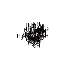 CC[C@H](C)[C@H](NC(=O)[C@@H]1C[C@@H](O)CN1C(=O)[C@@H](N)C(C)C)C(=O)N[C@H](C(=O)N[C@@H](Cc1ccc(O)cc1)C(=O)N[C@@H](CO)C(=O)N[C@@H](CC(N)=O)C(=O)N[C@@H](CCCNC(=N)N)C(=O)N[C@@H](CCN)C(=O)N[C@H](C(=O)N[C@H](CCN)C(=O)N[C@@H](CCCCN)C(=O)N[C@@H](CCN)C(=O)N[C@@H](CO)C(=O)N[C@@H](CS)C(=O)N[C@@H](Cc1ccc(O)cc1)C(=O)O)[C@@H](C)O)C(C)(C)S